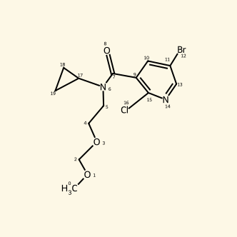 COCOCCN(C(=O)c1cc(Br)cnc1Cl)C1CC1